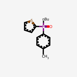 CCCCP(=O)(c1ccc(C)cc1)c1cccs1